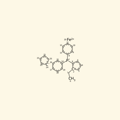 CC[c-]1cccc1P(c1ccccc1)c1ccccc1.[Fe+2].c1cc[cH-]c1